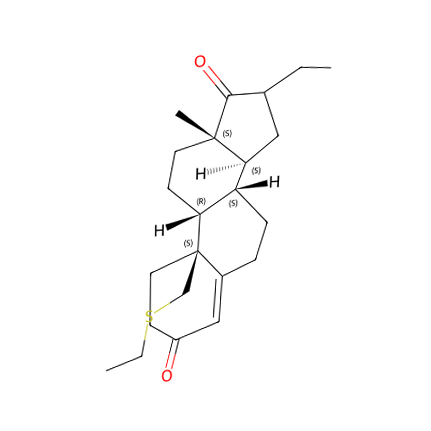 CCSC[C@]12CCC(=O)C=C1CC[C@@H]1[C@H]2CC[C@]2(C)C(=O)C(CC)C[C@@H]12